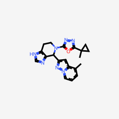 Cc1cccn2nc(C3c4nc[nH]c4CCN3c3nnc(C4(C)CC4)o3)cc12